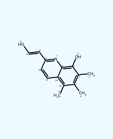 Cc1c(C)c(O)c2nc(/C=C/O)ccc2c1C